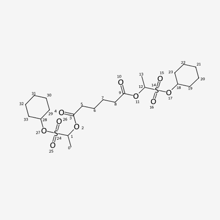 CC(OC(=O)CCCCC(=O)OC(C)S(=O)(=O)OC1CCCCC1)S(=O)(=O)OC1CCCCC1